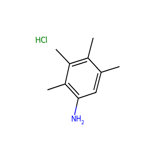 Cc1cc(N)c(C)c(C)c1C.Cl